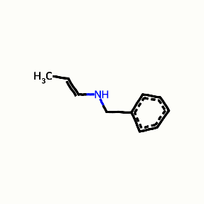 CC=CNCc1ccccc1